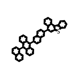 c1ccc2c(-c3c4ccccc4c(-c4ccc5cc(-c6cc7sc8ccccc8c7c7ccccc67)ccc5c4)c4ccccc34)cccc2c1